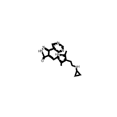 Cc1[nH]c(/C=C2/C(=O)NN=C2c2cncnc2)c(C)c1CCNC1CC1